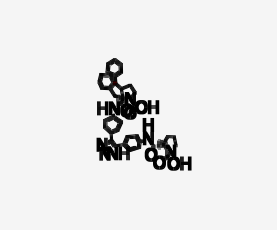 O=C(Nc1ccc(-c2[nH]nnc2-c2ccc(NC(=O)[C@]3(Cc4ccccc4)C(Cc4ccccc4)CCN3C(=O)O)cc2)cc1)[C@@H]1CCCN1C(=O)O